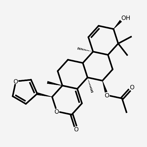 CC(=O)O[C@@H]1CC2C(C)(C)[C@H](O)C=C[C@]2(C)C2CC[C@]3(C)C(=CC(=O)O[C@H]3c3ccoc3)[C@@]21C